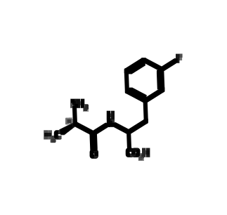 C[C@@H](N)C(=O)NC(Cc1cccc(F)c1)C(=O)O